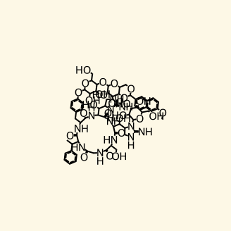 COc1ccc2cc(C3OCC4OC(OC5C(CO)OC(Oc6ccc(CC7NC(=O)C(C(C)c8ccccc8)NC(=O)CNC(=O)C(CO)NC(=O)C(C(O)C8CNC(=N)N8C8OC(CO)C(O)C(O)C8O)NC(=O)C(C(O)C8CNC(=N)N8)NC7=O)cc6)C(O)C5O)C(O)C(O)C4O3)ccc2c1